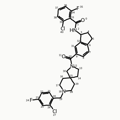 O=C(NC1CCc2ccc(C(=O)N3CCC4(CCN(Cc5ccc(F)cc5Cl)CC4)C3)cc21)c1c(F)cccc1Cl